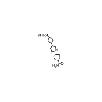 CCCCCCCc1ccc(-c2cnc([C@H]3CC[C@H](C(N)=O)CC3)nc2)cc1